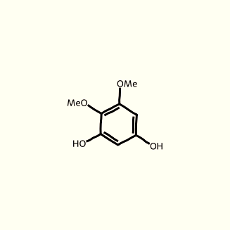 COc1cc(O)cc(O)c1OC